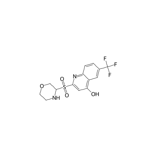 O=S(=O)(c1cc(O)c2cc(C(F)(F)F)ccc2n1)C1COCCN1